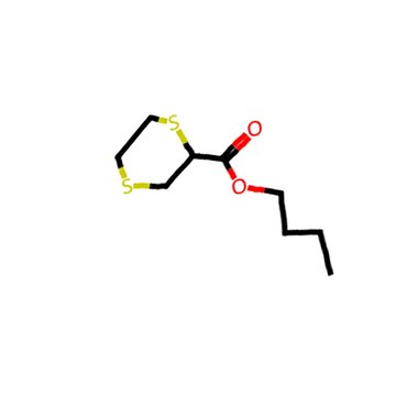 CCCCOC(=O)[C]1CSCCS1